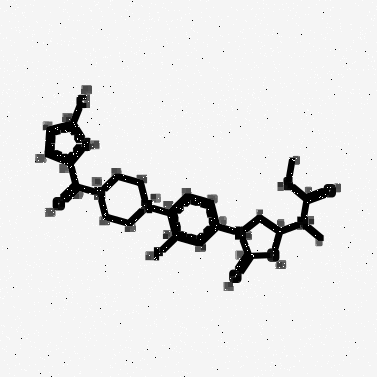 CSC(=O)N(C)C1CN(c2ccc(N3CCN(C(=O)c4ccc(Cl)s4)CC3)c(F)c2)C(=O)O1